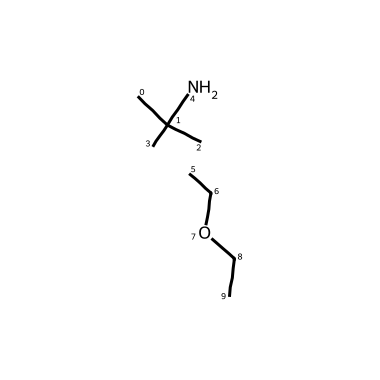 CC(C)(C)N.CCOCC